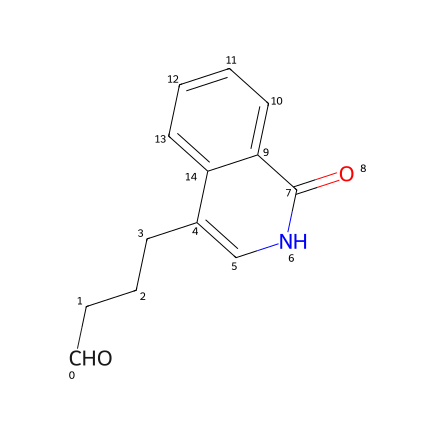 O=CCCCc1c[nH]c(=O)c2ccccc12